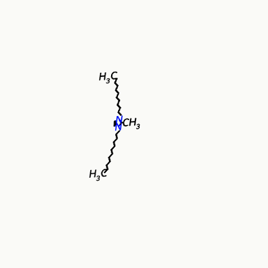 CCCCCCCCCCCCN1C=CN(CCCCCCCCCCCC)C1C